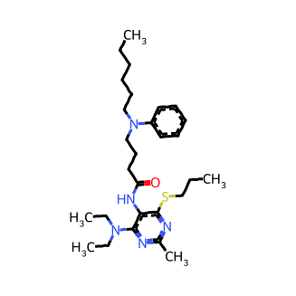 CCCCCCN(CCCC(=O)Nc1c(SCCC)nc(C)nc1N(CC)CC)c1ccccc1